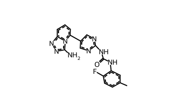 Cc1ccc(F)c(NC(=O)Nc2ncc(-c3cccc4nnc(N)n34)cn2)c1